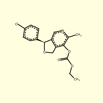 C[CH]OC(=O)Oc1c(C)ncc2c1CO[C@H]2c1ccc(Cl)cc1